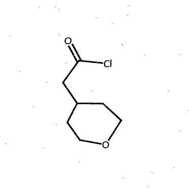 O=C(Cl)CC1CCOCC1